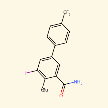 CC(C)(C)c1c(I)cc(-c2ccc(C(F)(F)F)cc2)cc1C(N)=O